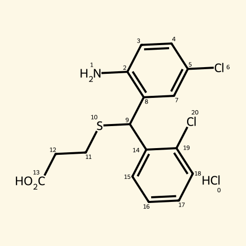 Cl.Nc1ccc(Cl)cc1C(SCCC(=O)O)c1ccccc1Cl